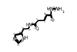 NNC(=O)CCCC(=O)NCCc1cnc[nH]1